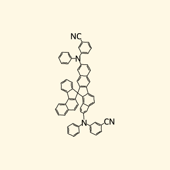 N#Cc1cccc(N(c2ccccc2)c2ccc3cc4c(cc3c2)C2(c3ccccc3-c3c2ccc2ccccc32)c2c-4ccc3cc(N(c4ccccc4)c4cccc(C#N)c4)ccc23)c1